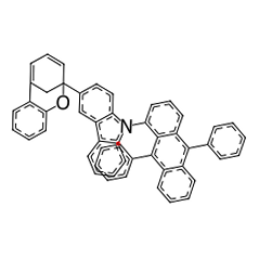 C1=CC2(c3ccc4c(c3)c3ccccc3n4-c3cccc4c(-c5ccccc5)c5ccccc5c(-c5ccccc5)c34)CC(=C1)c1ccccc1O2